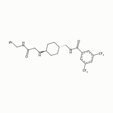 CC(C)CNC(=O)CN[C@H]1CC[C@H](CNC(=O)c2cc(C(F)(F)F)cc(C(F)(F)F)c2)CC1